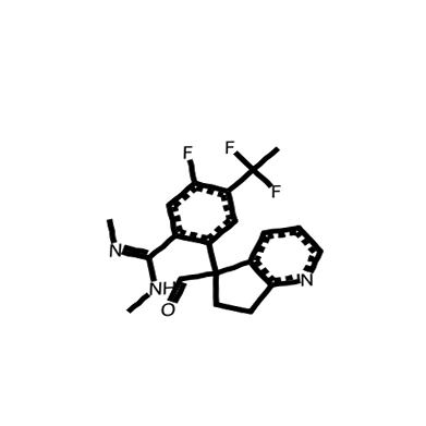 C/N=C(/NC)c1cc(F)c(C(C)(F)F)cc1C1(C=O)CCc2ncccc21